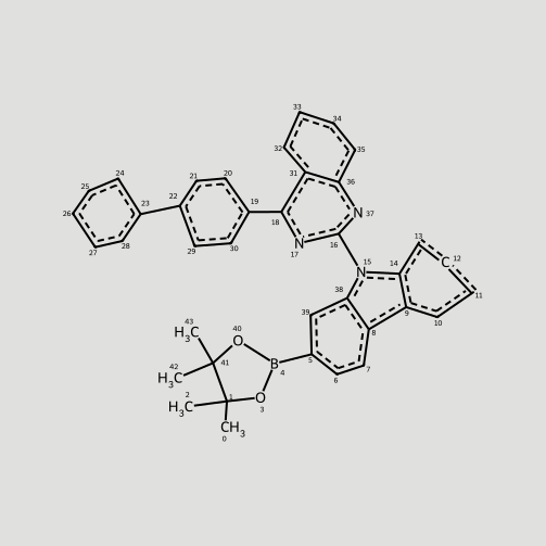 CC1(C)OB(c2ccc3c4ccccc4n(-c4nc(-c5ccc(-c6ccccc6)cc5)c5ccccc5n4)c3c2)OC1(C)C